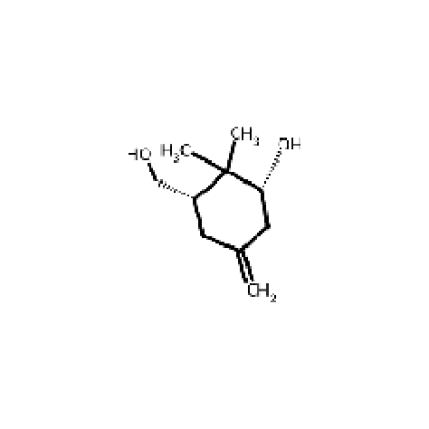 C=C1C[C@H](CO)C(C)(C)[C@H](O)C1